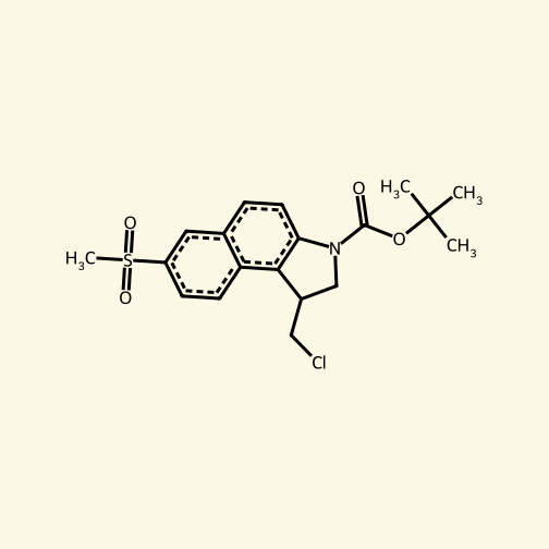 CC(C)(C)OC(=O)N1CC(CCl)c2c1ccc1cc(S(C)(=O)=O)ccc21